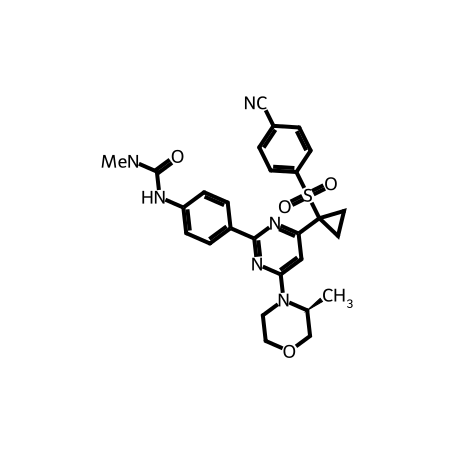 CNC(=O)Nc1ccc(-c2nc(N3CCOC[C@@H]3C)cc(C3(S(=O)(=O)c4ccc(C#N)cc4)CC3)n2)cc1